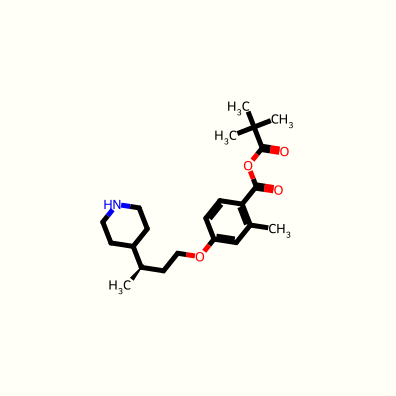 Cc1cc(OCC[C@@H](C)C2CCNCC2)ccc1C(=O)OC(=O)C(C)(C)C